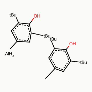 Cc1cc(C(C)(C)C)c(O)c(C(C)(C)C)c1.Cc1cc(C(C)(C)C)c(O)c(C(C)(C)C)c1.[AlH3]